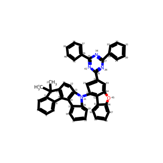 CC1(C)c2ccccc2-c2c1ccc1c2c2ccccc2n1-c1cc(-c2nc(-c3ccccc3)nc(-c3ccccc3)n2)cc2oc3ccccc3c12